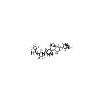 Oc1cc(-c2cn[nH]c2)ccc1-c1cnc(N2CC[C@H](NC3CCC3)C2)nn1